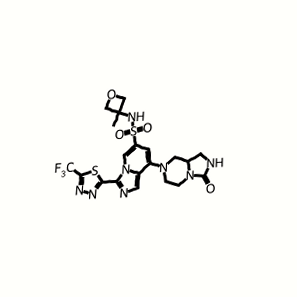 CC1(NS(=O)(=O)c2cc(N3CCN4C(=O)NCC4C3)c3cnc(-c4nnc(C(F)(F)F)s4)n3c2)COC1